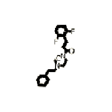 O=C(C=Cc1c(F)cccc1F)N1CCN(CCc2ccccc2)CC1